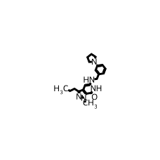 CCCc1nn(C)c2c(=O)[nH]c(NCc3cccc(N4CCCC4)c3)cc12